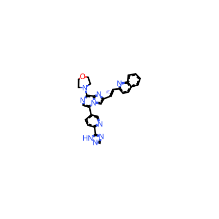 C(=C\c1cn2c(-c3ccc(-c4ncn[nH]4)nc3)cnc(N3CCOCC3)c2n1)/c1ccc2ccccc2n1